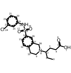 CCC(CCC(=O)O)N1CCc2ccc(S(=O)(=O)Nc3cccc(Cl)c3)cc2C1